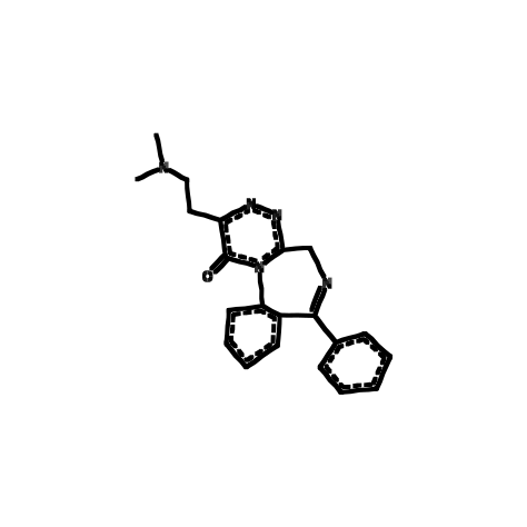 CN(C)CCc1nnc2n(c1=O)-c1ccccc1C(c1ccccc1)=NC2